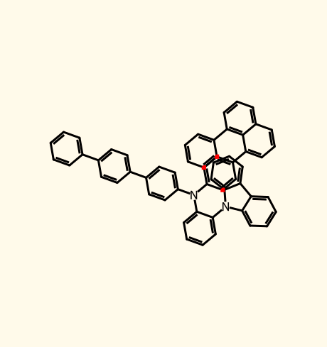 c1ccc(-c2ccc(-c3ccc(N(c4ccc(-c5cccc6cccc(-c7ccccc7)c56)cc4)c4ccccc4-n4c5ccccc5c5ccccc54)cc3)cc2)cc1